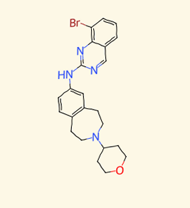 Brc1cccc2cnc(Nc3ccc4c(c3)CCN(C3CCOCC3)CC4)nc12